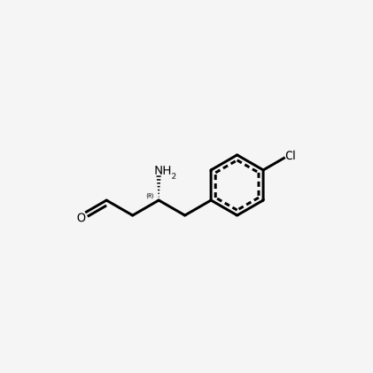 N[C@@H](CC=O)Cc1ccc(Cl)cc1